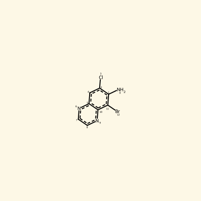 Nc1c(Cl)cc2nccnc2c1Br